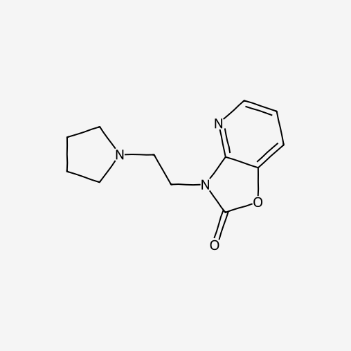 O=c1oc2cccnc2n1CCN1CCCC1